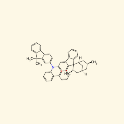 C[C@H]1C[C@@H]2C[C@H](C1)C1(c3ccccc3-c3cc(N(c4ccc5c(c4)C(C)(C)c4ccccc4-5)c4ccccc4-c4ccccc4)ccc31)[C@H](C)C2